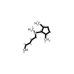 CC1CCC(C)C1N(C)CCCCO